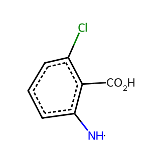 [NH]c1cccc(Cl)c1C(=O)O